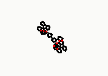 c1ccc(-c2cc(-c3ccc(N(c4ccccc4)c4cccc5c4C(c4ccccc4)(c4ccccc4)c4ccccc4-5)cc3)ccc2N(c2ccccc2)c2cccc3c2C(c2ccccc2)(c2ccccc2)c2ccccc2-3)cc1